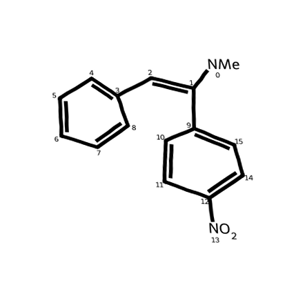 CNC(=Cc1ccccc1)c1ccc([N+](=O)[O-])cc1